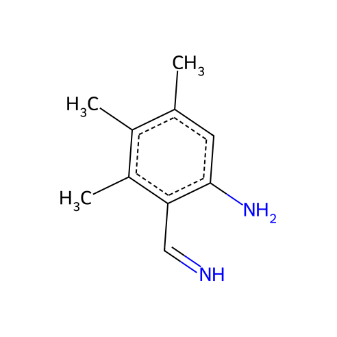 Cc1cc(N)c(C=N)c(C)c1C